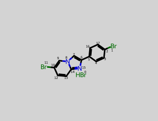 Br.Brc1ccc(-c2cn3cc(Br)ccc3n2)cc1